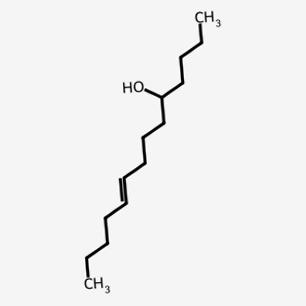 CCCCC=CCCCC(O)CCCC